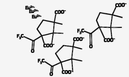 CC1(C(=O)[O-])CCC(C(=O)[O-])(C(=O)C(F)(F)F)C1(C)C.CC1(C(=O)[O-])CCC(C(=O)[O-])(C(=O)C(F)(F)F)C1(C)C.CC1(C(=O)[O-])CCC(C(=O)[O-])(C(=O)C(F)(F)F)C1(C)C.[Eu+2].[Eu+2].[Eu+2]